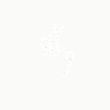 COC(=O)c1ccc2c(c1)CCCC(Br)=C2c1cccc(O[C@@H]2CCN(CCCF)C2)c1C